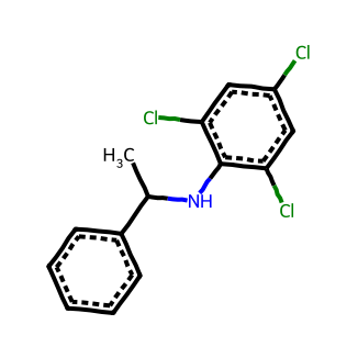 CC(Nc1c(Cl)cc(Cl)cc1Cl)c1ccccc1